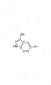 CC[CH]c1c[nH]c2ccc(F)cc12